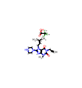 C#CCn1c(=O)c2c(nc(N3CCNCC3)n2CC=C(C)C)n(C)c1=O.O=C(O)C(F)(F)F